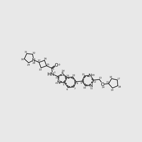 O=C(Nc1nc2ccc(-c3cnc(COC4CCCC4)nc3)cc2s1)C1CC(N2CCCC2)C1